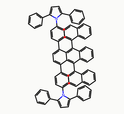 c1ccc(-c2ccc(-c3ccccc3)n2-c2ccc(-c3ccc(-c4ccc(-n5c(-c6ccccc6)ccc5-c5ccccc5)cc4)c4c(-c5cccc6ccccc56)c5ccccc5c(-c5cccc6ccccc56)c34)cc2)cc1